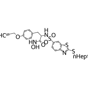 C#CCOc1ccc(CC(NS(=O)(=O)c2ccc3nc(SCCCCCCC)sc3c2)C(=O)NO)cc1